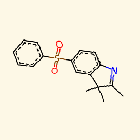 CC1=Nc2ccc(S(=O)(=O)c3ccccc3)cc2C1(C)C